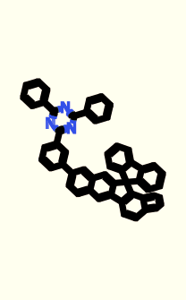 c1ccc(-c2nc(-c3ccccc3)nc(-c3cccc(-c4ccc5cc6c(cc5c4)C4(c5ccccc5-c5ccccc54)c4c-6ccc5ccccc45)c3)n2)cc1